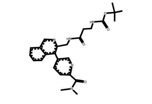 CN(C)C(=O)c1ccc(-c2c(CNC(=O)CCNC(=O)OC(C)(C)C)ncc3ccccc23)cn1